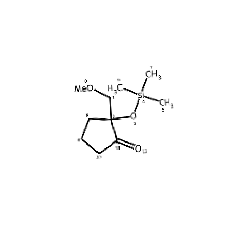 COCC1(O[Si](C)(C)C)CCCC1=O